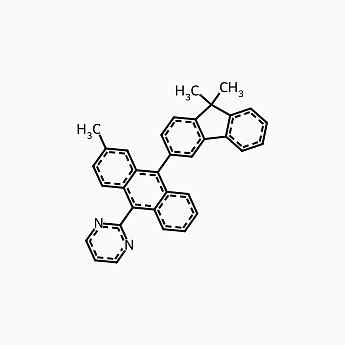 Cc1ccc2c(-c3ncccn3)c3ccccc3c(-c3ccc4c(c3)-c3ccccc3C4(C)C)c2c1